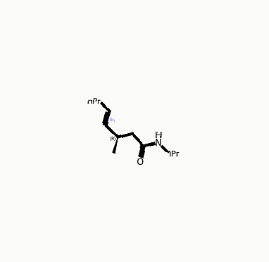 CCC/C=C/[C@H](C)CC(=O)NC(C)C